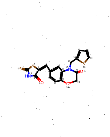 O=C1NC(=S)S/C1=C/c1ccc2c(c1)N(Cc1cccs1)C(=O)CO2